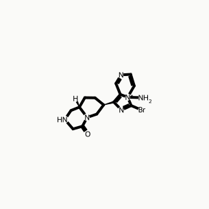 N[N+]12C=CN=CC1=C([C@@H]1CC[C@H]3CNCC(=O)N3C1)N=C2Br